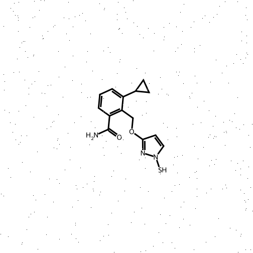 NC(=O)c1cccc(C2CC2)c1COc1ccn(S)n1